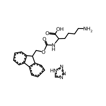 NCCCCC(NC(=O)OCC1c2ccccc2-c2ccccc21)C(=O)O.c1nnn[nH]1